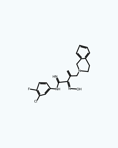 C=C(CN1CCc2ccccc2C1)/C(=N\O)C(=N)Nc1ccc(F)c(Cl)c1